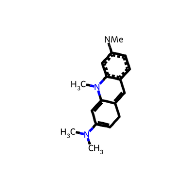 CNc1ccc2c(c1)N(C)C1=CC(N(C)C)=CCC1=C2